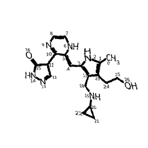 Cc1[nH]c(C=C2NC=CN=C2C2C=NNC2=O)c(CNC2CC2)c1CCO